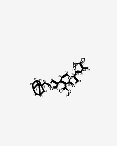 COC(=O)c1c(-c2cnn(CC34CC5CC(CC(C5)C3)C4)c2)ccn2c(-c3cc(C)c(Cl)nn3)cnc12